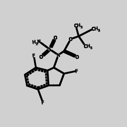 CC(C)(C)OC(=O)N(C1c2c(F)ccc(F)c2CC1F)S(N)(=O)=O